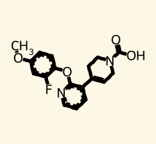 COc1ccc(Oc2ncccc2C2=CCN(C(=O)O)CC2)c(F)c1